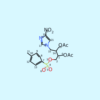 CC(=O)OC(COS(=O)(=O)c1ccc(C)cc1)C(Cn1cnc([N+](=O)[O-])c1)OC(C)=O